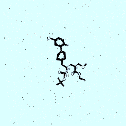 CCOC(=O)[C@H](COC)C[C@@H](Cc1ccc(-c2cc(Cl)ccc2F)cc1)NC(=O)OC(C)(C)C